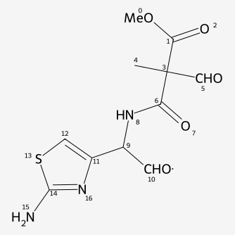 COC(=O)C(C)(C=O)C(=O)NC([C]=O)c1csc(N)n1